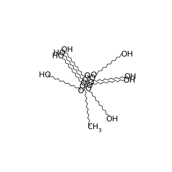 CCCCCCCCCCCCCC(OCCCCCCCCCCCCO)C(OCCCCCCCCCCCCO)(OCCCCCCCCCCCCO)C(OCCCCCCCCCCCCO)(OCCCCCCCCCCCCO)C(OCCCCCCCCCCCCO)(OCCCCCCCCCCCCO)C(=O)OOCCCCCCCCCCCCO